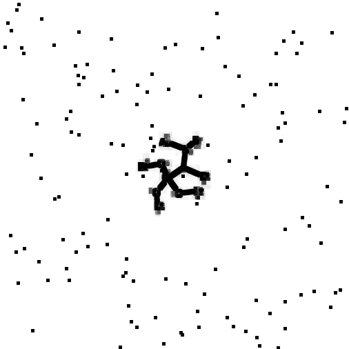 CCO[Si](OCC)(OCC)C(CC)N(Br)C(C)=O